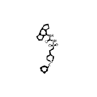 O=C(Nc1c2c(cc3c1CCC3)CCC2)NS(=O)(=O)CCC1CCN(Cc2ccccc2)CC1